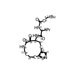 CC(C)C(NC(=O)OCC(C)(C)C)C(=O)NC1CCc2cnsc2CCCCNC(=O)C1=O